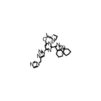 C[C@H](Oc1cc(-n2cc(Cn3ccnc3)nn2)nc(-c2noc3c2CCC[C@@]32CCCCC2=O)n1)[C@@H]1CCCN1C